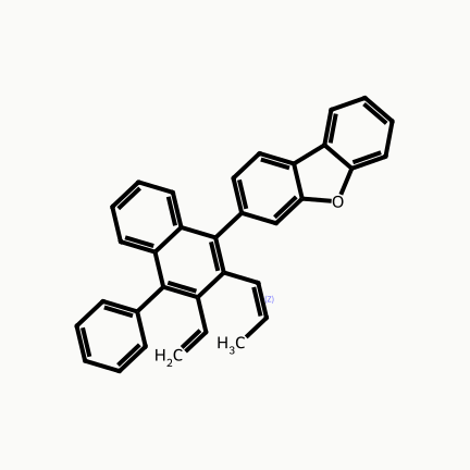 C=Cc1c(/C=C\C)c(-c2ccc3c(c2)oc2ccccc23)c2ccccc2c1-c1ccccc1